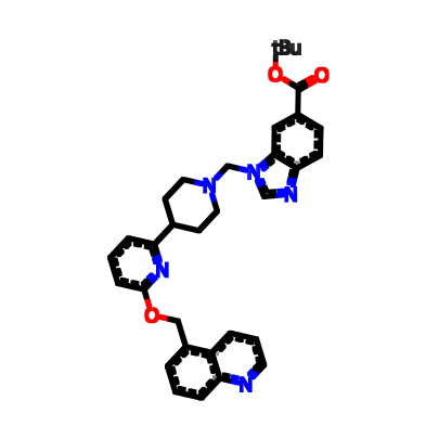 CC(C)(C)OC(=O)c1ccc2ncn(CN3CCC(c4cccc(OCc5cccc6ncccc56)n4)CC3)c2c1